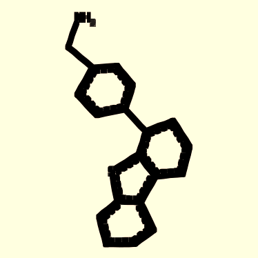 NCc1ccc(-c2cccc3c2sc2ccccc23)cc1